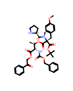 COc1ccc(C[C@](C(=O)O[C@H](C)[C@H](NC(=O)OCc2ccccc2)C(=O)OCC(=O)c2ccccc2)(C(=O)OC(C)(C)C)N(C)C(=O)[C@@H]2CCCN2)cc1